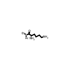 CCN(C(C)=O)C(=O)[C@@H](N)CCCCN